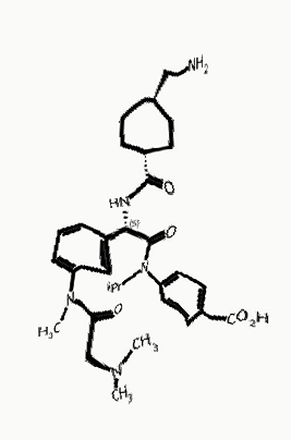 CC(C)N(C(=O)[C@@H](NC(=O)[C@H]1CC[C@H](CN)CC1)c1cccc(N(C)C(=O)CN(C)C)c1)c1ccc(C(=O)O)cc1